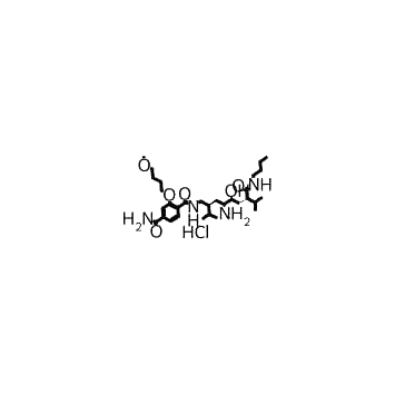 CCCCNC(=O)[C@@H](C[C@H](O)[C@@H](N)C[C@H](CNC(=O)c1ccc(C(N)=O)cc1OCCCCOC)C(C)C)C(C)C.Cl